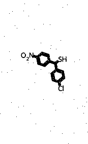 O=[N+]([O-])c1ccc(C(S)c2ccc(Cl)cc2)cc1